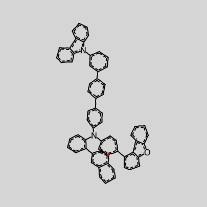 c1cc(-c2ccc(-c3ccc(N(c4ccc(-c5cccc6oc7ccccc7c56)cc4)c4ccccc4-c4ccc5ccccc5c4)cc3)cc2)cc(-n2c3ccccc3c3ccccc32)c1